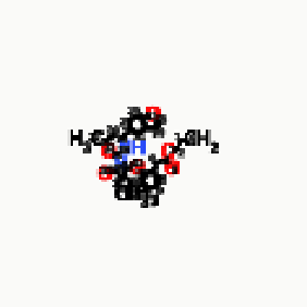 C=CCOC(=O)Cc1ccccc1O[C@@H]1N(C(=O)N[C@H](CCC)c2ccc3occc3c2)C(=O)C1(CC)CC